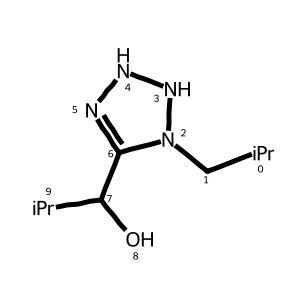 CC(C)CN1NNN=C1C(O)C(C)C